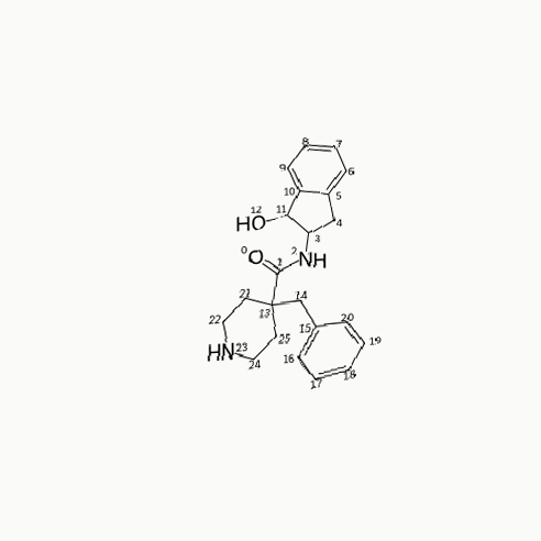 O=C(NC1Cc2ccccc2C1O)C1(Cc2ccccc2)CCNCC1